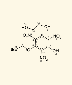 CC(C)(C)COc1c([N+](=O)[O-])cc([N+](=O)[O-])c(O)c1[N+](=O)[O-].OCCO